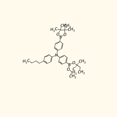 CCCCc1ccc(N(c2ccc(B(OCC)OC(C)(C)CC)cc2)c2ccc(B3OC(C)(C)C(C)(C)O3)cc2)cc1